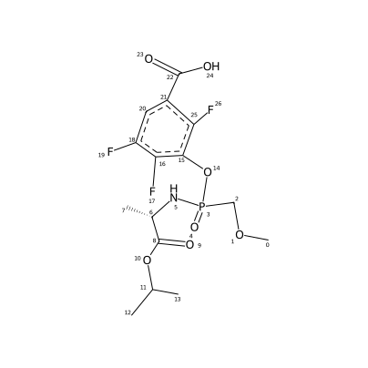 COCP(=O)(N[C@@H](C)C(=O)OC(C)C)Oc1c(F)c(F)cc(C(=O)O)c1F